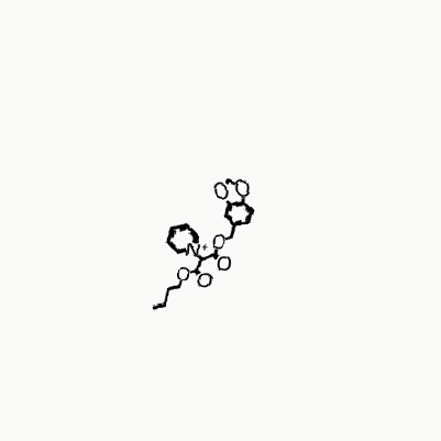 CCCCOC(=O)C(C(=O)OCc1ccc2c(c1)OCO2)[n+]1ccccc1